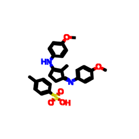 COc1ccc(N=C2CCC(Nc3ccc(OC)cc3)=C2C)cc1.Cc1ccc(S(=O)(=O)O)cc1